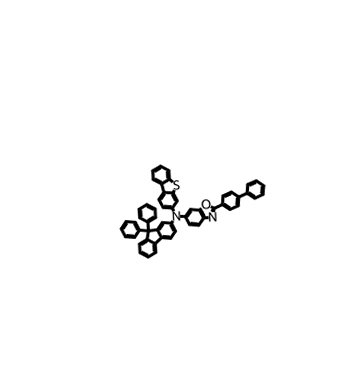 c1ccc(-c2ccc(-c3nc4ccc(N(c5ccc6c(c5)C(c5ccccc5)(c5ccccc5)c5ccccc5-6)c5ccc6c(c5)sc5ccccc56)cc4o3)cc2)cc1